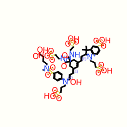 CN(CCCC(=O)O)S(=O)(=O)c1ccc(N(CCCS(=O)(=O)O)/C(O)=C/C=C2C=C(/C=C/C3=[N+](CCCS(=O)(=O)O)c4ccc(S(=O)(=O)O)cc4C3(C)C)CC(C(=O)NCCS(=O)(=O)O)(C(=O)NCCS(=O)(=O)O)C/2)cc1